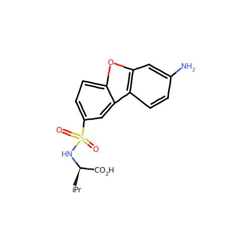 CC(C)[C@@H](NS(=O)(=O)c1ccc2oc3cc(N)ccc3c2c1)C(=O)O